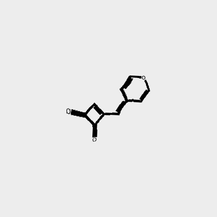 O=c1cc(C=C2C=COC=C2)c1=O